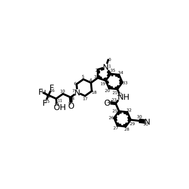 Cn1cc(C2CCN(C(=O)CC(O)C(F)(F)F)CC2)c2cc(NC(=O)c3cccc(C#N)c3)ccc21